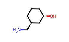 NC[C@H]1CCC[C@@H](O)C1